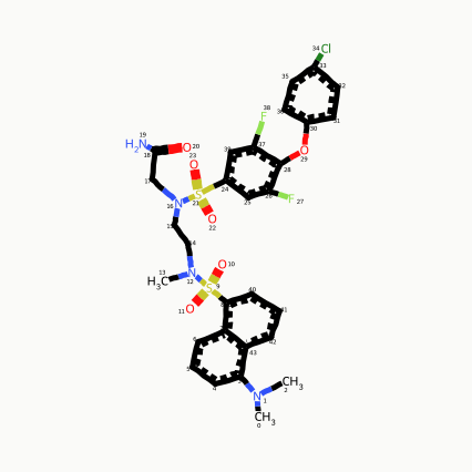 CN(C)c1cccc2c(S(=O)(=O)N(C)CCN(CC(N)=O)S(=O)(=O)c3cc(F)c(Oc4ccc(Cl)cc4)c(F)c3)cccc12